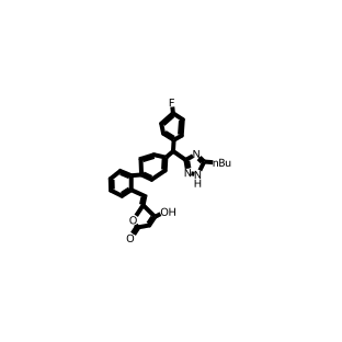 CCCCc1nc(C(c2ccc(F)cc2)c2ccc(-c3ccccc3/C=C3\OC(=O)C=C3O)cc2)n[nH]1